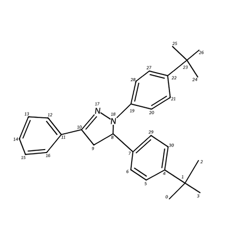 CC(C)(C)c1ccc(C2CC(c3ccccc3)=NN2c2ccc(C(C)(C)C)cc2)cc1